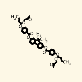 CCCC(OCC1CO1)Oc1ccc(C(=O)Oc2ccc3c(c2)C(C)(C)c2cc(OC(=O)c4ccc(OC(CCC)OCC5CO5)cc4)ccc2-3)cc1